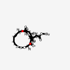 CC(C)[C@H]1NC(=O)[C@H]2CSSCCC=C[C@H](CC(=O)N[C@H](CCC(=O)OC(C)(C)C)C(=O)N2)OC(=O)C[C@@H]1O